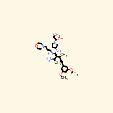 C=C[C@H](O)N1CC[C@H](N/C(NCCCN2CCOCC2)=C(/C(=C)N)C(C)C#Cc2cc(OC)cc(OC)c2)C1